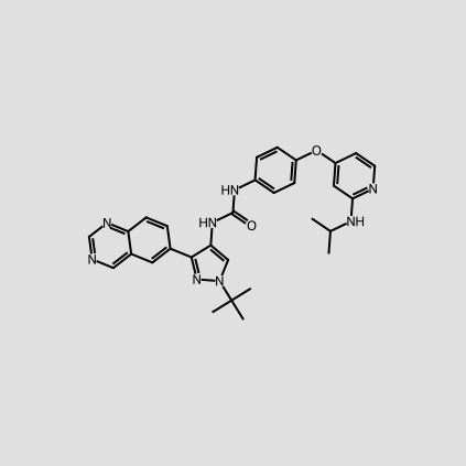 CC(C)Nc1cc(Oc2ccc(NC(=O)Nc3cn(C(C)(C)C)nc3-c3ccc4ncncc4c3)cc2)ccn1